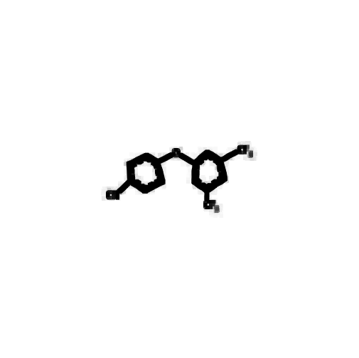 [C-]#[N+]c1ccc(Oc2cc(C(F)(F)F)cc(C(F)(F)F)c2)cc1